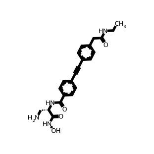 CCNC(=O)Cc1ccc(C#Cc2ccc(C(=O)N[C@@H](CN)C(=O)NO)cc2)cc1